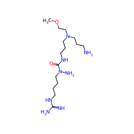 COCCN(CCCN)CCCNC(=O)N(N)CCCCNC(=N)N